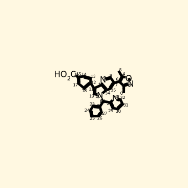 Cc1noc(C)c1-c1cnc2c(-c3ccc(C(=O)O)cc3)cn([C@H](c3ccccc3)c3ccccn3)c2c1